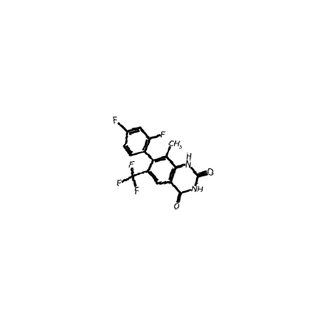 Cc1c(-c2ccc(F)cc2F)c(C(F)(F)F)cc2c(=O)[nH]c(=O)[nH]c12